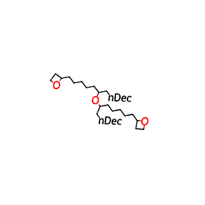 CCCCCCCCCCCC(CCCCCC1CCO1)OC(CCCCCCCCCCC)CCCCCC1CCO1